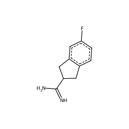 N=C(N)C1Cc2ccc(F)cc2C1